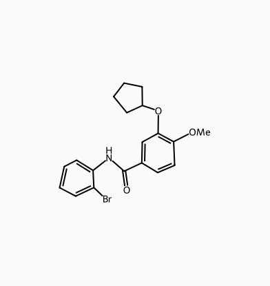 COc1ccc(C(=O)Nc2ccccc2Br)cc1OC1CCCC1